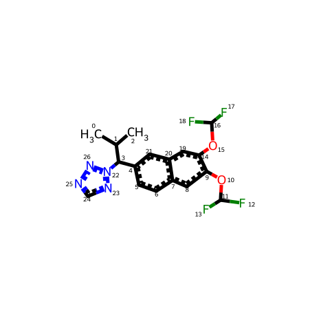 CC(C)C(c1ccc2cc(OC(F)F)c(OC(F)F)cc2c1)n1ncnn1